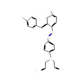 C=CCN(CC=C)c1ccc(N=NC2=CC=C(N)CC2=Cc2ccc([N+](=O)[O-])cc2)cc1